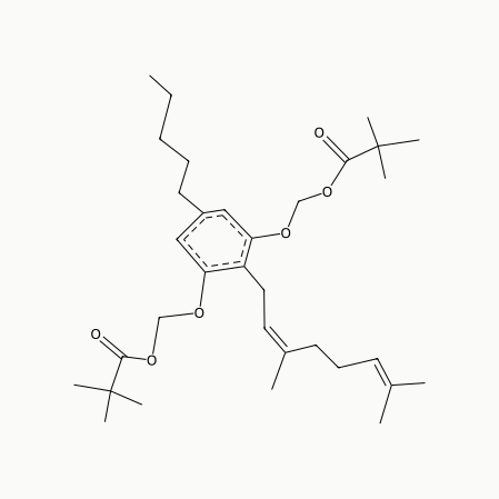 CCCCCc1cc(OCOC(=O)C(C)(C)C)c(CC=C(C)CCC=C(C)C)c(OCOC(=O)C(C)(C)C)c1